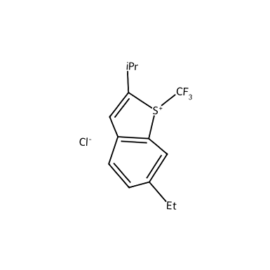 CCc1ccc2cc(C(C)C)[s+](C(F)(F)F)c2c1.[Cl-]